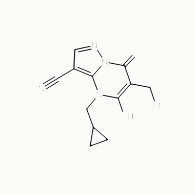 CCc1c(C)n(CC2CC2)c2c(C#N)cnn2c1=O